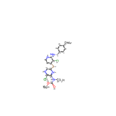 COc1ccc(CNc2nccc(Sc3cnc(Cl)c(N(C(=O)O)C(=O)OC(C)(C)C)n3)c2Cl)cc1